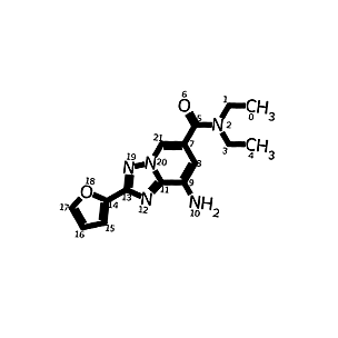 CCN(CC)C(=O)c1cc(N)c2nc(-c3ccco3)nn2c1